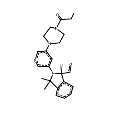 CCC(=O)N1CCN(c2cncc(N3C(C)(C)c4ccccc4C3(Cl)C=O)c2)CC1